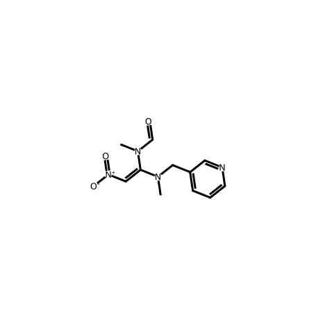 CN(C=O)C(=C[N+](=O)[O-])N(C)Cc1cccnc1